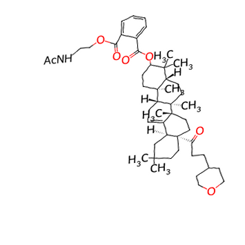 CC(=O)NCCOC(=O)c1ccccc1C(=O)OC1CC[C@]2(C)[C@H]3CC=C4[C@@H]5CC(C)(C)CC[C@]5(C(=O)CCC5CCOCC5)CC[C@@]4(C)[C@]3(C)CC[C@H]2C1(C)C